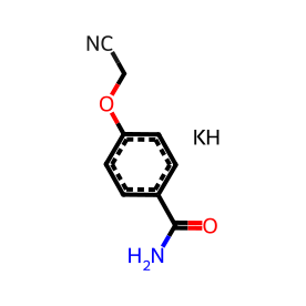 N#CCOc1ccc(C(N)=O)cc1.[KH]